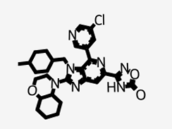 CC1CCC(Cn2c(N3CCOC4CCCCC43)nc3cc(-c4noc(=O)[nH]4)nc(-c4cncc(Cl)c4)c32)CC1